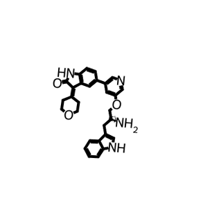 N[C@H](COc1cncc(-c2ccc3c(c2)C(=C2CCOCC2)C(=O)N3)c1)Cc1c[nH]c2ccccc12